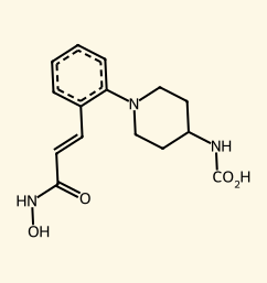 O=C(O)NC1CCN(c2ccccc2/C=C/C(=O)NO)CC1